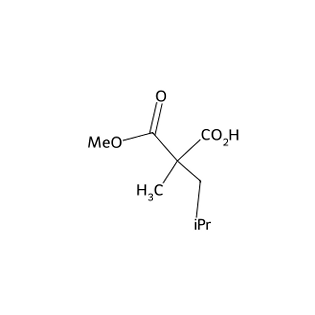 COC(=O)C(C)(CC(C)C)C(=O)O